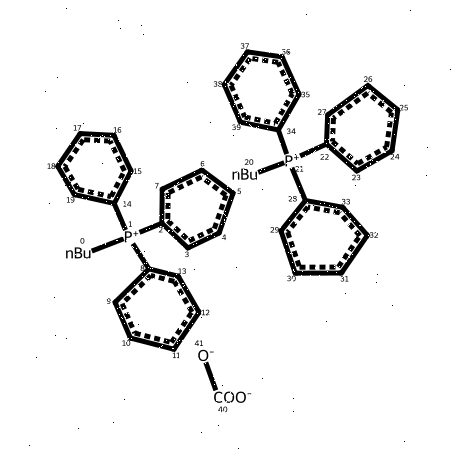 CCCC[P+](c1ccccc1)(c1ccccc1)c1ccccc1.CCCC[P+](c1ccccc1)(c1ccccc1)c1ccccc1.O=C([O-])[O-]